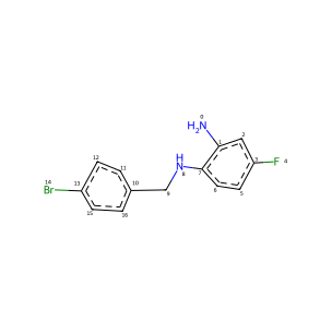 Nc1cc(F)ccc1NCc1ccc(Br)cc1